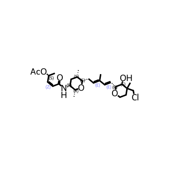 CC(=O)O[C@@H](C)/C=C\C(=O)N[C@@H]1C[C@H](C)[C@H](C/C=C(C)/C=C/[C@H]2OCCC(C)(CCl)[C@@H]2O)O[C@@H]1C